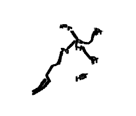 Br.C=C[CH2][Pd][PH](C(C)C)(C(C)C)C(C)C